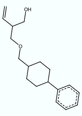 C=CC(CO)COCC1CCC(c2ccccc2)CC1